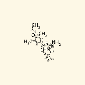 C=CCOc1c(C)cc(C(=C)S/C(=N\N)NCC2CCC2)cc1C